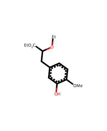 CCOC(=O)C(Cc1ccc(OC)c(O)c1)OCC